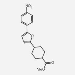 COC(=O)C1CCC(c2ncc(-c3ccc([N+](=O)[O-])cc3)o2)CC1